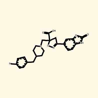 O=C(O)C1(CN2CCC(Cc3ccc(F)cc3)CC2)CC(c2ccc3[nH]c(=O)oc3c2)=NO1